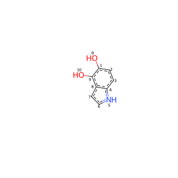 Oc1ccc2[nH]ccc2c1O